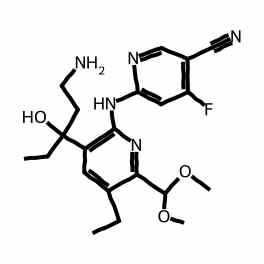 CCc1cc(C(O)(CC)CCN)c(Nc2cc(F)c(C#N)cn2)nc1C(OC)OC